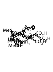 CNC(=O)C[C@H](NC(=O)c1csc(-c2ccc(-c3nc(N(CCCCC(=O)O)C(=O)OCC(CCCCC(=O)O)CC(=O)O)cs3)nc2-c2csc(-c3csc(C[C@@H](O)c4ccccc4)n3)n2)n1)c1nc(C(=O)NC(c2nc(C(=O)NCC(N)=O)c(COC)s2)C(C)C)c(C)s1